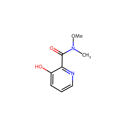 CON(C)C(=O)c1ncccc1O